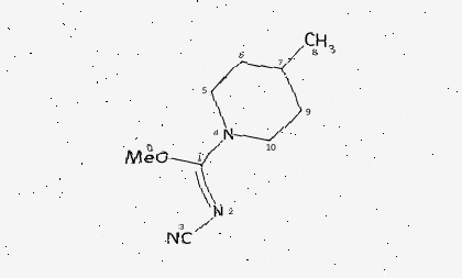 CO/C(=N\C#N)N1CCC(C)CC1